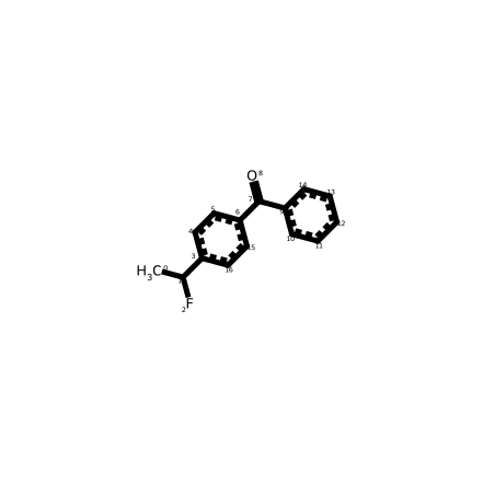 CC(F)c1ccc(C(=O)c2ccccc2)cc1